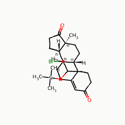 C[C@]12CC[C@H]3[C@@H](CCC4=CC(=O)CCC43C(CBr)O[Si](C)(C)C)[C@@H]1CCC2=O